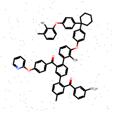 Cc1ccc(-c2ccc(-c3cccc(Oc4ccc(C5(c6ccc(Oc7cccc(C)c7C#N)cc6)CCCCC5)cc4)c3C#N)c(C(=O)c3ccc(Oc4ccccn4)cc3)c2)c(C(=O)c2cccc(S(=O)(=O)O)c2)c1